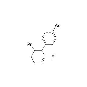 CC(=O)c1ccc(C2=C(C(C)C)[CH]CC=C2F)cc1